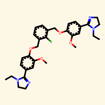 CCN1CCN=C1c1ccc(OCc2cccc(COc3ccc(C4=NCCN4CC)cc3OC)c2F)c(OC)c1